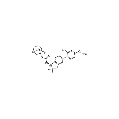 CC(C)(C)Oc1ccc(-c2ccc3c(c2)CC(C)(C)[C@H]3NC(=O)O[C@@H]2CN3CCC2CC3)c(Cl)c1